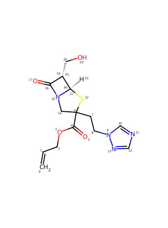 C=CCOC(=O)C1(CCn2cncn2)CN2C(=O)[C@H](CO)[C@H]2S1